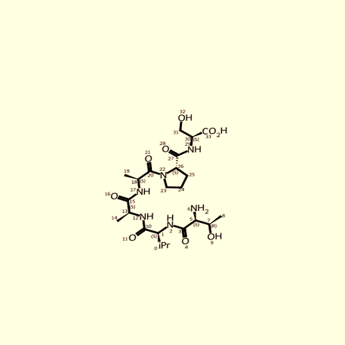 CC(C)[C@H](NC(=O)[C@@H](N)[C@@H](C)O)C(=O)N[C@@H](C)C(=O)N[C@@H](C)C(=O)N1CCC[C@H]1C(=O)N[C@@H](CO)C(=O)O